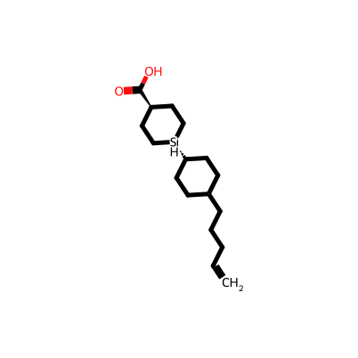 C=CCCCC1CCC([Si@H]2CC[C@H](C(=O)O)CC2)CC1